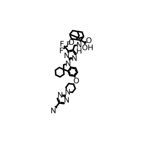 N#Cc1cnc(N2CCC(Oc3ccc4c(c3)C3(CCCCC3)CN4c3ncc(C(=O)NC4(C(=O)O)C5CC6CC(C5)CC4C6)c(C(F)(F)F)n3)CC2)nc1